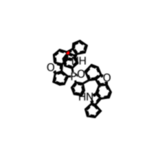 O=P(c1ccccc1)(c1ccccc1-c1cccc2oc3ccc4c5ccccc5[nH]c4c3c12)c1cccc2oc3ccc4c5ccccc5[nH]c4c3c12